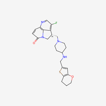 O=c1ccc2ncc(F)c3c2n1C[C@H]3CN1CCC(NCc2cc3c(s2)CCCO3)CC1